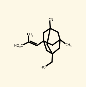 CC(=CC12CC3(C)CC(C#N)(C1)CC(CO)(C3)C2)C(=O)O